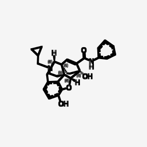 O=C(Nc1ccccc1)C1=C[C@@]23CC[C@]1(O)[C@@H]1Oc4c(O)ccc5c4[C@@]12CCN(CC1CC1)[C@@H]3C5